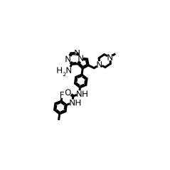 Cc1ccc(F)c(NC(=O)Nc2ccc(-c3c(CN4CCN(C)CC4)cn4ncnc(N)c34)cc2)c1